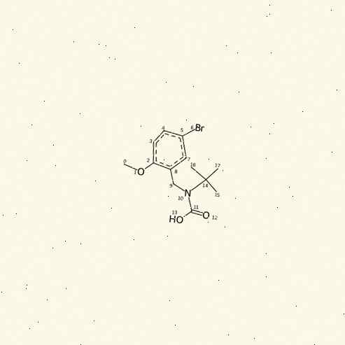 COc1ccc(Br)cc1CN(C(=O)O)C(C)(C)C